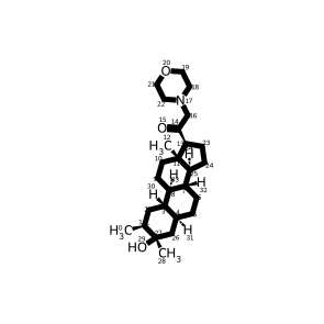 C[C@H]1C[C@H]2[C@@H](CC[C@@H]3[C@@H]2CC[C@]2(C)[C@@H](C(=O)CN4CCOCC4)CC[C@@H]32)C[C@]1(C)O